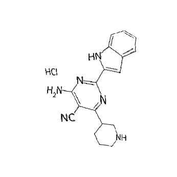 Cl.N#Cc1c(N)nc(-c2cc3ccccc3[nH]2)nc1C1CCCNC1